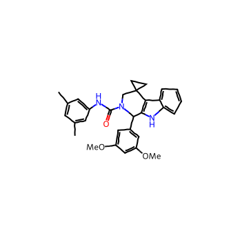 COc1cc(OC)cc(C2c3[nH]c4ccccc4c3C3(CC3)CN2C(=O)Nc2cc(C)cc(C)c2)c1